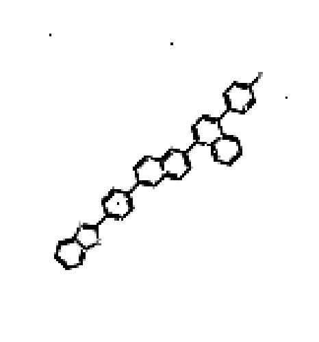 Fc1ccc(-c2ccc(-c3ccc4cc(-c5ccc(-c6nc7ccccc7s6)cc5)ccc4c3)c3ccccc23)cc1